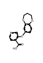 O=C(O)c1ccncc1Sc1ccc2c(c1)OCCCO2